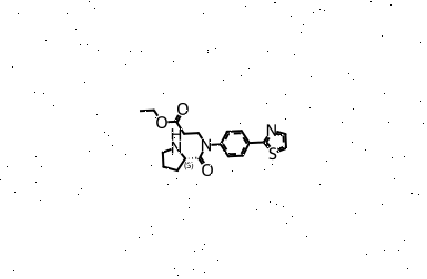 CCOC(=O)CCN(C(=O)[C@@H]1CCCN1)c1ccc(-c2nccs2)cc1